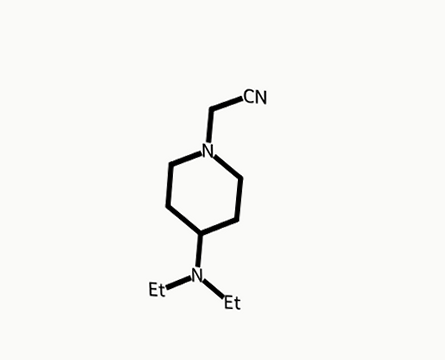 CCN(CC)C1CCN(CC#N)CC1